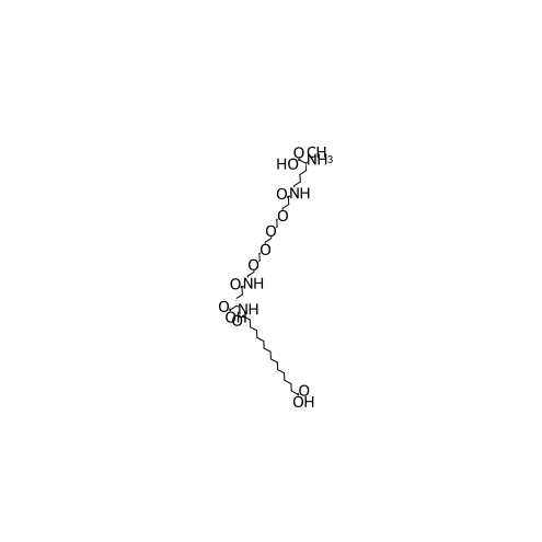 CN[C@@H](CCCCNC(=O)CCOCCOCCOCCOCCNC(=O)CC[C@H](NC(=O)CCCCCCCCCCCCCCC(=O)O)C(=O)O)C(=O)O